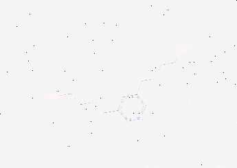 OCCNCc1cncc(CNCCO)c1